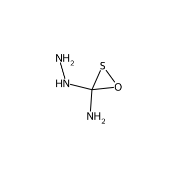 NNC1(N)OS1